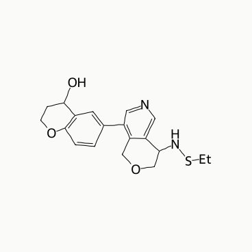 CCSNC1COCc2c(-c3ccc4c(c3)C(O)CCO4)cncc21